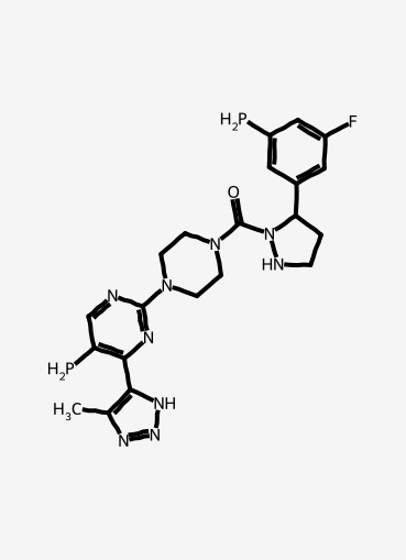 Cc1nn[nH]c1-c1nc(N2CCN(C(=O)N3NCCC3c3cc(F)cc(P)c3)CC2)ncc1P